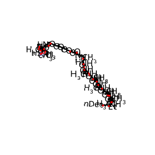 CCCCCCCCCCCCCCCC(C)(CC)Nc1cn(C)c(C(=O)Nc2cc(C(=O)NCCC(=O)Nc3cn(C)c(C(=O)Nc4cc(C(=O)NCCC(=O)Nc5cn(C)c(C(=O)NCCC(=O)NCCCN(C)CCCNC(=O)CCOCCOCCOCCOCCOCCOc6ccc(NC(=O)C[C@@H]7N=C(c8ccc(Cl)cc8)C(/C(C)=C(/C)S)=Cn8c(C)nnc87)cc6)n5)n(C)c4)n3)n(C)c2)n1